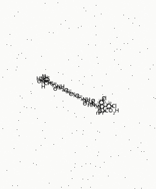 CCC[C@H](C(=O)O)c1c(-c2ccc(Cl)cc2)c2cc(Cl)ccc2n(CCNC(=O)CCC(=O)NCCCOCCOCCOCCCNC(=O)CCCC[C@H]2SC[C@H]3NC(=O)N[C@]32C)c1=O